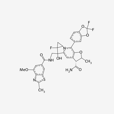 COc1cc(C(=O)NCC(O)(c2cc3c(c(-c4ccc5c(c4)OC(F)(F)O5)n2)OC(C)[C@@H]3C(N)=O)C2(F)CC2)cc2sc(C)nc12